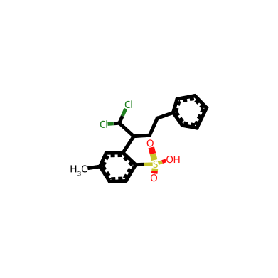 Cc1ccc(S(=O)(=O)O)c(C(CCc2ccccc2)C(Cl)Cl)c1